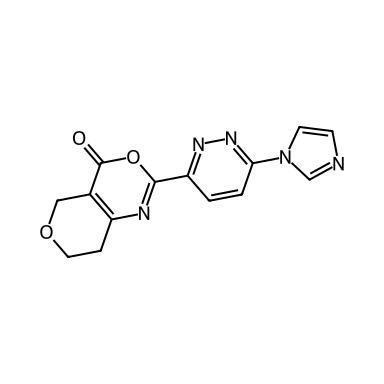 O=c1oc(-c2ccc(-n3ccnc3)nn2)nc2c1COCC2